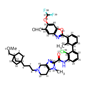 COCC12CCC(CCCN3CCc4c(nc(C(=O)Nc5cccc(-c6cccc(-c7nc8cc(C=O)c(OC(F)F)cc8o7)c6C)c5Cl)n4C)C3)(CC1)C2